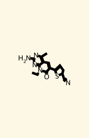 CCn1c(=O)c(C2=CCC(C#N)S2)cc2c(C)nc(N)nc21